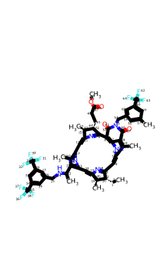 CC[C@H]1c2cc3[nH]c4c(c5nc(cc6[nH]c(cc(n2)[C@@H]1C)c(C(C)NCc1cc(C(F)(F)F)cc(C(F)(F)F)c1)c6C)[C@@H](C)[C@@H]5CCC(=O)OC)C(=O)N(Cc1cc(C)cc(C(F)(F)F)c1)C(=O)c4c3C